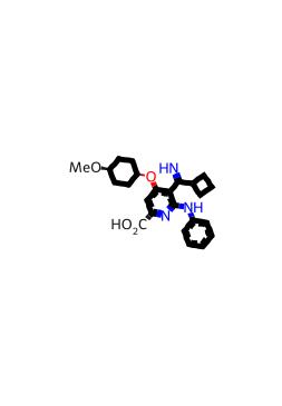 CO[C@H]1CC[C@H](Oc2cc(C(=O)O)nc(Nc3ccccc3)c2C(=N)C2CCC2)CC1